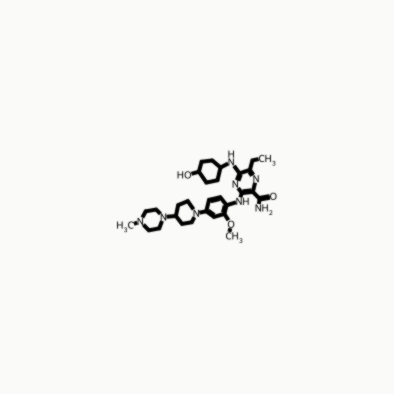 CCc1nc(C(N)=O)c(Nc2ccc(N3CCC(N4CCN(C)CC4)CC3)cc2OC)nc1NC1CCC(O)CC1